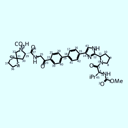 COC(=O)N[C@H](C(=O)N1CCCC1c1nc(-c2ccc(-c3ccc(C(=O)CNC(=O)[C@@H]4CC5(CN4C(=O)O)SCCS5)cc3)cc2)c[nH]1)C(C)C